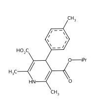 CC1=C(C(=O)O)C(c2ccc(C)cc2)C(C(=O)OC(C)C)=C(C)N1